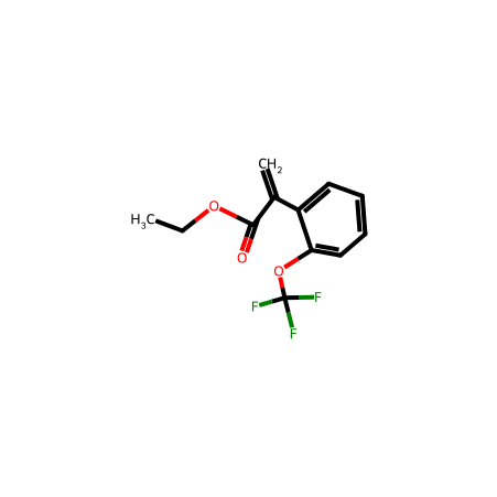 C=C(C(=O)OCC)c1ccccc1OC(F)(F)F